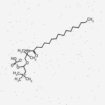 CCCCCCCCCCCCCCCC(=O)NC(C)(C)COC(C[N+](C)(C)C)OP(=O)([O-])O